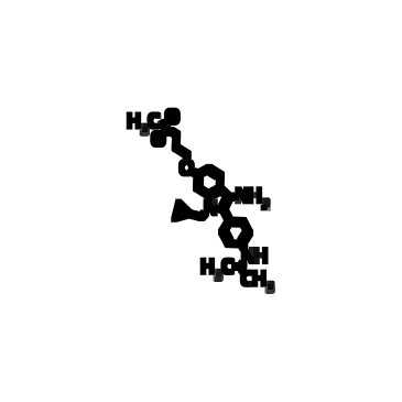 CC(C)Nc1ccc(-c2c(N)c3ccc(OCCCS(C)(=O)=O)cc3n2CC2CC2)cc1